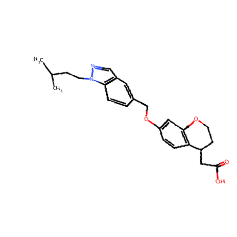 CC(C)CCn1ncc2cc(COc3ccc4c(c3)OCCC4CC(=O)O)ccc21